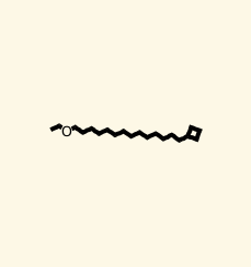 CCOCCCCCCCCCCCCCCC1CCC1